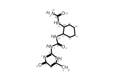 Cc1cc(=O)nc(NC(=O)NC2CCCCC2NC(N)=O)[nH]1